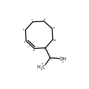 CC(O)C1/C=C\CCCCC1